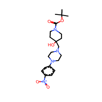 CC(C)(C)OC(=O)N1CCC(O)(CN2CCN(c3ccc([N+](=O)[O-])cc3)CC2)CC1